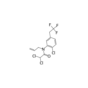 C=CCN(C(=O)C(Cl)Cl)c1cc(CC(F)(F)F)ccc1Cl